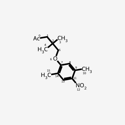 CC(=O)CC(C)(C)COc1cc(C)c([N+](=O)[O-])cc1C